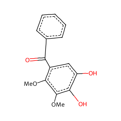 COc1c(C(=O)c2ccccc2)cc(O)c(O)c1OC